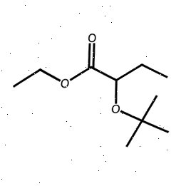 CCOC(=O)C(CC)OC(C)(C)C